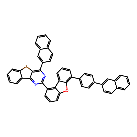 c1ccc2cc(-c3ccc(-c4cccc5c4oc4cccc(-c6nc(-c7ccc8ccccc8c7)c7sc8ccccc8c7n6)c45)cc3)ccc2c1